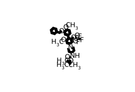 COc1ccc(-c2c(OC)cc(N3CCC(NC(=O)OC(C)(C)C)CC3)cc2OS(=O)(=O)C(F)(F)F)cc1OCc1ccccc1